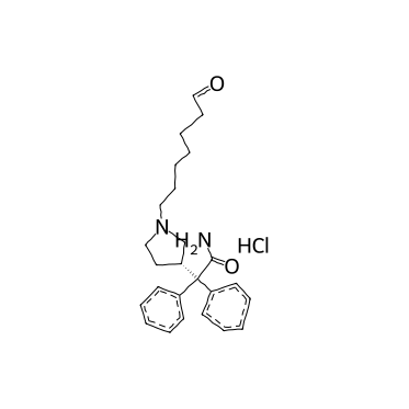 Cl.NC(=O)C(c1ccccc1)(c1ccccc1)[C@@H]1CCN(CCCCCCC=O)C1